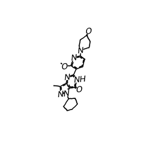 COc1nc(N2CCC(=O)CC2)ccc1-c1nc2c(C)nn(C3CCCCC3)c2c(=O)[nH]1